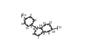 Fc1ccc(-n2ccc3cc(I)ccc32)cc1